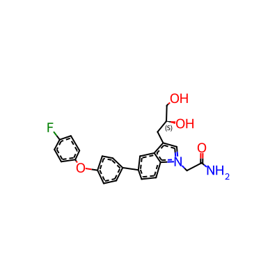 NC(=O)Cn1cc(C[C@H](O)CO)c2cc(-c3ccc(Oc4ccc(F)cc4)cc3)ccc21